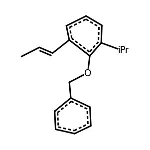 CC=Cc1cccc(C(C)C)c1OCc1ccccc1